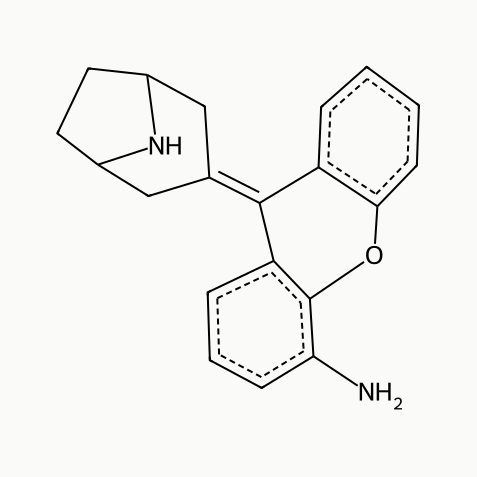 Nc1cccc2c1Oc1ccccc1C2=C1CC2CCC(C1)N2